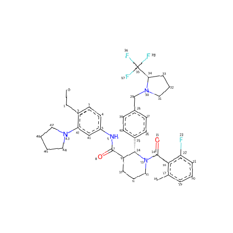 CCc1ccc(NC(=O)C2CCCN(C(=O)c3c(C)cccc3F)[C@H]2c2ccc(CN3CCCC3C(F)(F)F)cc2)cc1N1CCCC1